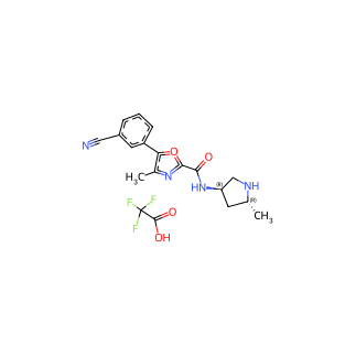 Cc1nc(C(=O)N[C@H]2CN[C@H](C)C2)oc1-c1cccc(C#N)c1.O=C(O)C(F)(F)F